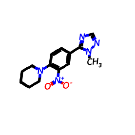 Cn1ncnc1-c1ccc(N2CCCCC2)c([N+](=O)[O-])c1